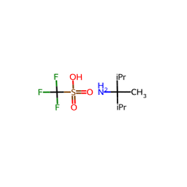 CC(C)C(C)(N)C(C)C.O=S(=O)(O)C(F)(F)F